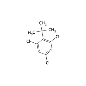 CC(C)(C)c1c(Cl)cc(Cl)cc1Cl